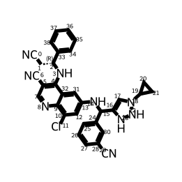 N#CC[C@@H](Nc1c(C#N)cnc2c(Cl)cc(NC(C3=CN(C4CC4)NN3)c3cccc(C#N)c3)cc12)c1ccccc1